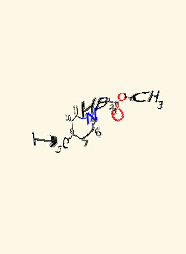 COC(=O)BN1CCC(C)CC1